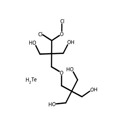 OCC(CO)(CO)COCC(CO)(CO)C(Cl)OCl.[TeH2]